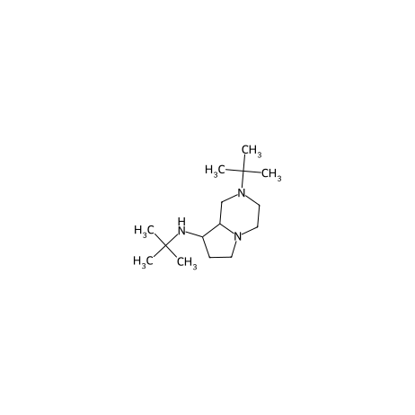 CC(C)(C)NC1CCN2CCN(C(C)(C)C)CC12